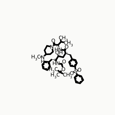 CNC1CCN(C(=O)[C@@H](NC(=O)[C@@H](Cc2ccc(S(=O)(=O)c3ccccc3)cc2)C[C@H](O)[C@@H](Cc2ccccc2)NC(=O)OC(C)(C)C)C(C)C)CC1